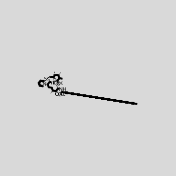 CC#CC#CC#CC#CC#CC#CC#CC#CC#CC#CC#CC#CC(=O)N[C@@H](CO[C@H]1OC(CSSc2ccccn2)[C@H](C)[C@H](C)C1C)[C@H](OC(C)=O)[C@H](C)CCCCCCCCCCCCCC